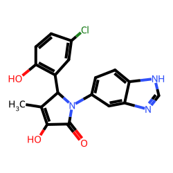 CC1=C(O)C(=O)N(c2ccc3[nH]cnc3c2)C1c1cc(Cl)ccc1O